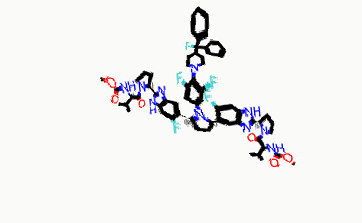 COC(=O)N[C@H](C(=O)N1CCC[C@H]1c1nc2cc([C@H]3CC[C@H](c4cc5nc([C@@H]6CCCN6C(=O)[C@@H](NC(=O)OC)C(C)C)[nH]c5cc4F)N3c3cc(F)c(N4CCC(C(F)(c5ccccc5)c5ccccc5)CC4)c(F)c3)c(F)cc2[nH]1)C(C)C